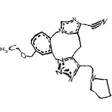 COc1ccc2c(c1)-n1nnc(CN3CCCC3)c1Cc1c(C#N)ncn1-2